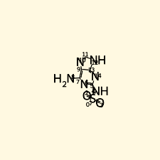 CS(=O)(=O)Nc1nc(N)c2nc[nH]c2n1